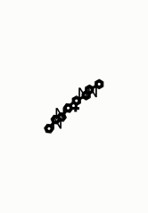 CC1(C)c2cc(-c3ccc4nc(-c5ccccc5)ccc4n3)ccc2-c2ccc(-c3ccc4nc(-c5ccccc5)ccc4n3)cc21